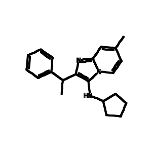 Cc1ccn2c(NC3CCCC3)c(C(C)c3ccccc3)nc2c1